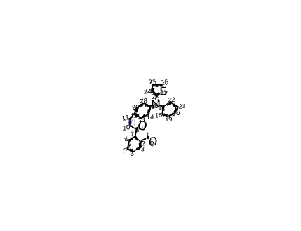 O=Cc1ccccc1C(=O)/C=C\c1ccc(N(c2ccccc2)c2cccs2)cc1